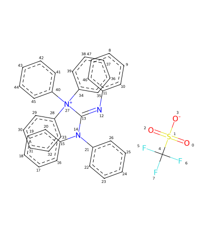 O=S(=O)([O-])C(F)(F)F.c1ccc(N=C(N(c2ccccc2)c2ccccc2)[N+](c2ccccc2)(c2ccccc2)c2ccccc2)cc1